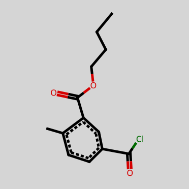 CCCCOC(=O)c1cc(C(=O)Cl)ccc1C